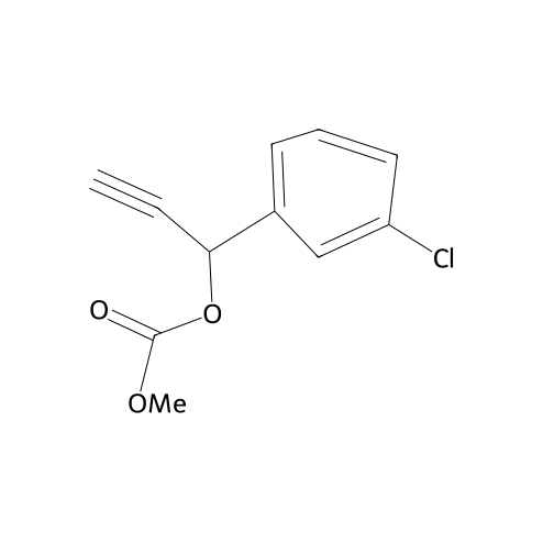 C#CC(OC(=O)OC)c1cccc(Cl)c1